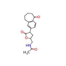 CC(=O)NCC1CC(c2ccc3c(c2)CCCCC3=O)C(=O)O1